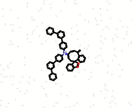 C=C1/C=C\C(N(c2ccc(-c3cccc(-c4ccccc4)c3)cc2)c2ccc(-c3cccc(-c4ccccc4)c3)cc2)=C/CC2(c3ccccc31)c1ccccc1-c1ccccc12